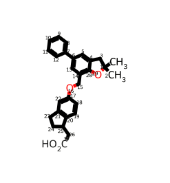 CC1(C)Cc2cc(-c3ccccc3)cc(COc3ccc4c(c3)CCC4CC(=O)O)c2O1